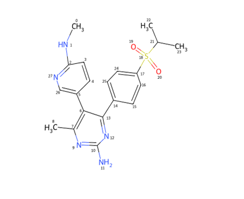 CNc1ccc(-c2c(C)nc(N)nc2-c2ccc(S(=O)(=O)C(C)C)cc2)cn1